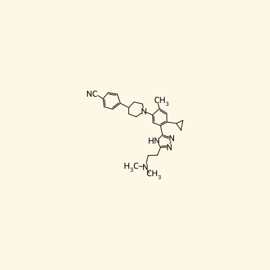 Cc1cc(C2CC2)c(-c2nnc(CCN(C)C)[nH]2)cc1N1CCC(c2ccc(C#N)cc2)CC1